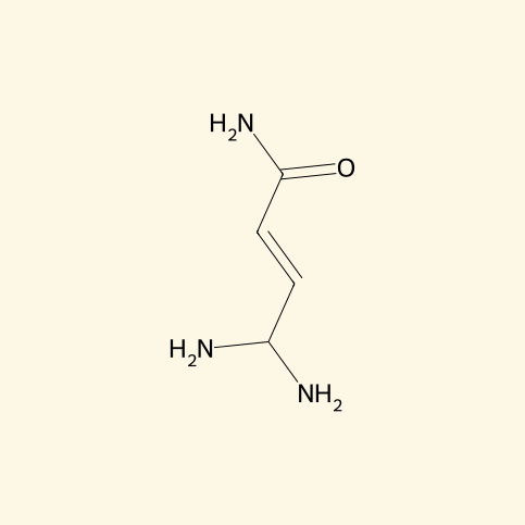 NC(=O)C=CC(N)N